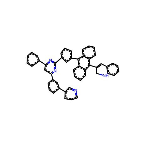 C1=C(c2c3ccccc3c(-c3cccc(-c4nc(-c5ccccc5)cc(-c5cccc(-c6cccnc6)c5)n4)c3)c3ccccc23)CNc2ccccc21